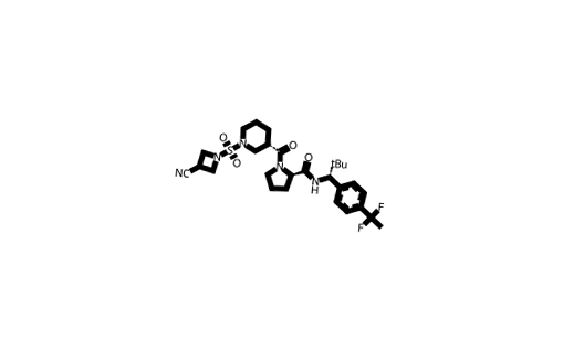 CC(F)(F)c1ccc([C@H](NC(=O)[C@H]2CCCN2C(=O)[C@H]2CCCN(S(=O)(=O)N3CC(C#N)C3)C2)C(C)(C)C)cc1